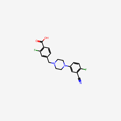 N#Cc1cc(N2CCN(Cc3ccc(C(=O)O)c(F)c3)CC2)ccc1F